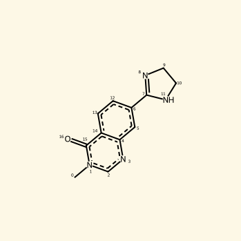 Cn1cnc2cc(C3=NCCN3)ccc2c1=O